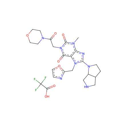 Cn1c(=O)n(CC(=O)N2CCOCC2)c(=O)c2c1nc(N1CCC3CNCC31)n2Cc1ncco1.O=C(O)C(F)(F)F